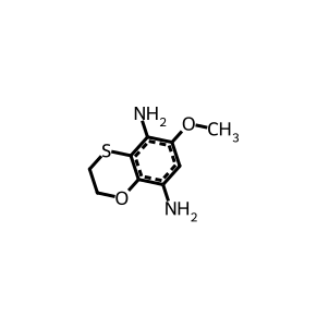 COc1cc(N)c2c(c1N)SCCO2